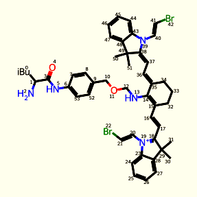 CCC(C)C(N)C(=O)Nc1ccc(COCNC2=C(/C=C/C3=[N+](/C=C/Br)c4ccccc4C3(C)C)CCC/C2=C\C=C2\N(/C=C/Br)c3ccccc3C2(C)C)cc1